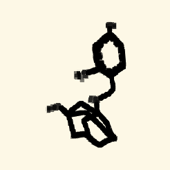 Cc1cc(O)ccc1CNC12CC3CC(CC(O)(C3)C1)C2